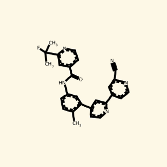 Cc1ccc(NC(=O)c2ccnc(C(C)(C)F)c2)cc1-c1ccnc(-c2ccnc(C#N)c2)c1